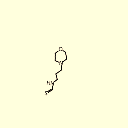 S=CNCCCN1CCOCC1